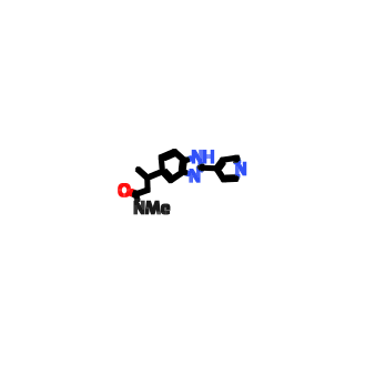 CNC(=O)CC(C)c1ccc2[nH]c(-c3ccncc3)nc2c1